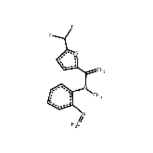 C=Nc1ccccc1N(C)C(=C)c1ccc(C(F)F)s1